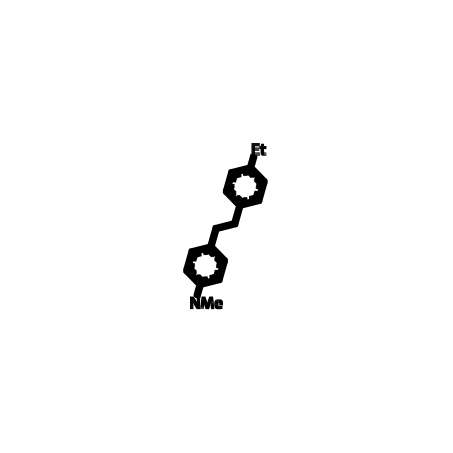 CCc1ccc(CCc2ccc(NC)cc2)cc1